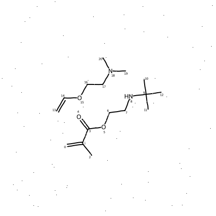 C=C(C)C(=O)OCCNC(C)(C)C.C=COCCN(C)C